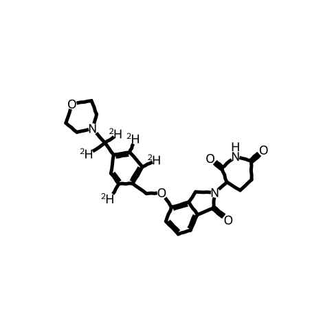 [2H]c1cc(C([2H])([2H])N2CCOCC2)c([2H])c([2H])c1COc1cccc2c1CN(C1CCC(=O)NC1=O)C2=O